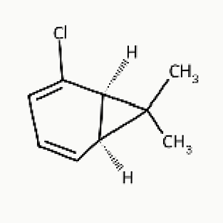 CC1(C)[C@@H]2C(Cl)=CC=C[C@@H]21